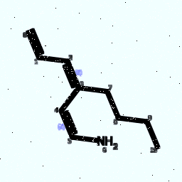 C=C/C=C(\C=C/N)CCCC